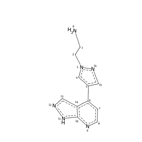 NCCn1cc(-c2ccnc3[nH]ncc23)cn1